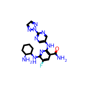 NC(=O)c1cc(F)c(NC2CCCC[C@@H]2N)nc1Nc1cnc(-n2nccn2)nc1